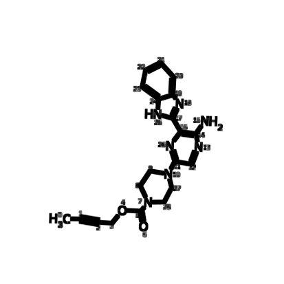 CC#CCOC(=O)N1CCN(c2cnc(N)c(-c3nc4ccccc4[nH]3)n2)CC1